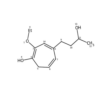 CCOC1=C(O)CC=CC(CCC(C)O)=C1